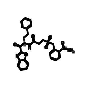 N[N+](=O)c1ccccc1CS(=O)(=O)C[CH]C(=O)N[C@@H](CCc1ccccc1)C(=O)c1nc2ccccc2o1